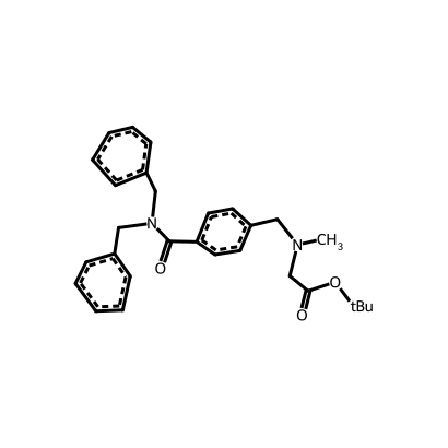 CN(CC(=O)OC(C)(C)C)Cc1ccc(C(=O)N(Cc2ccccc2)Cc2ccccc2)cc1